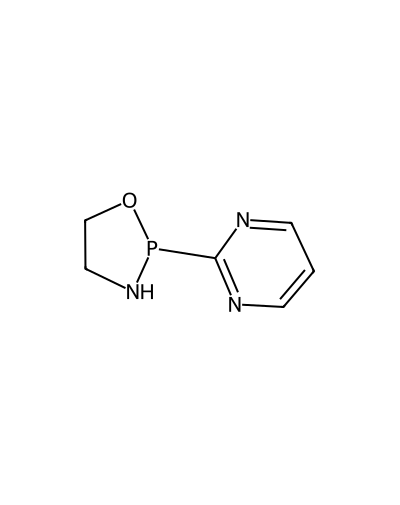 c1cnc(P2NCCO2)nc1